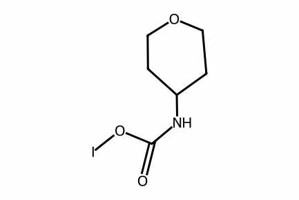 O=C(NC1CCOCC1)OI